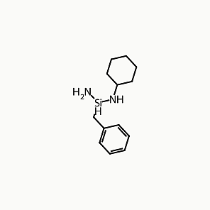 N[SiH](Cc1ccccc1)NC1CCCCC1